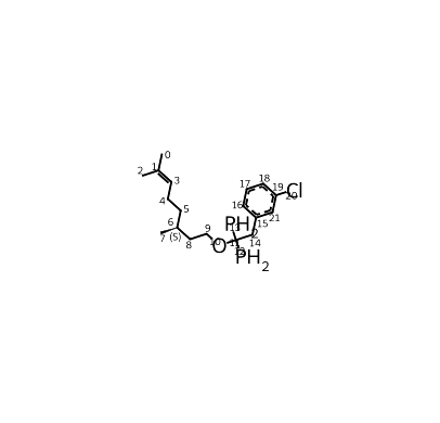 CC(C)=CCC[C@H](C)CCOC(P)(P)Cc1cccc(Cl)c1